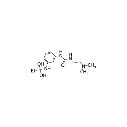 CCC(O)(O)Nc1cccc(NC(=O)NCCN(C)C)c1